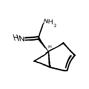 N=C(N)[C@@]12CC=CC1C2